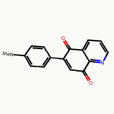 CNc1ccc(C2=CC(=O)c3ncccc3C2=O)cc1